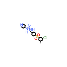 C/N=C(\NCc1ccc(S(=O)(=O)c2cc(C)cc(Cl)c2)cc1)Nc1ccncc1